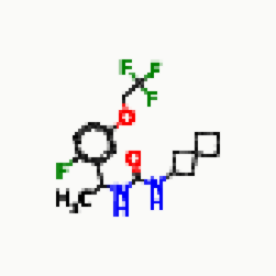 CC(NC(=O)NC1CC2(CCC2)C1)c1cc(OCC(F)(F)F)ccc1F